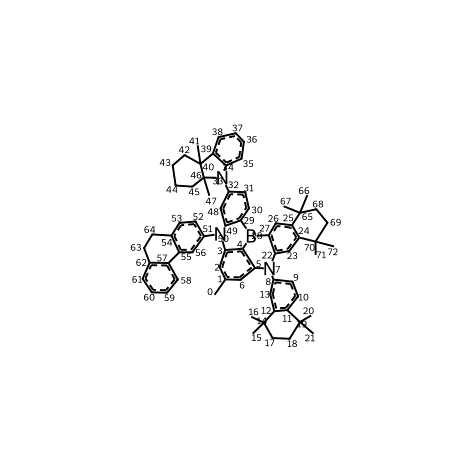 Cc1cc2c3c(c1)N(c1ccc4c(c1)C(C)(C)CCC4(C)C)c1cc4c(cc1B3c1ccc(N3c5ccccc5C5(C)CCCCC35C)cc1N2c1ccc2c(c1)-c1ccccc1CC2)C(C)(C)CCC4(C)C